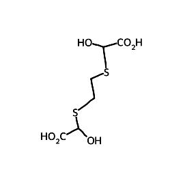 O=C(O)C(O)SCCSC(O)C(=O)O